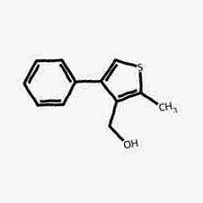 Cc1scc(-c2ccccc2)c1CO